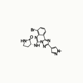 Cn1cc(-c2nc3c4cccc(Br)c4nc(N[C@@H]4CCNC4=O)n3n2)cn1